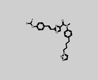 CN(C(=O)c1coc(C=Cc2ccc(OC(F)F)cc2)n1)c1ccc(CCCCn2ccnn2)cc1